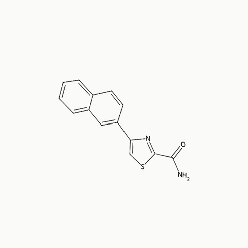 NC(=O)c1nc(-c2ccc3ccccc3c2)cs1